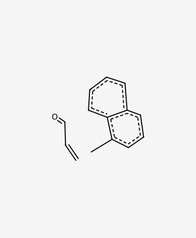 C=CC=O.Cc1cccc2ccccc12